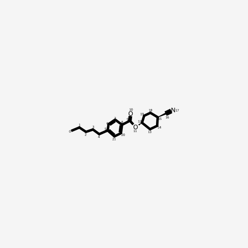 CCCCCc1ccc(C(=O)O[C@H]2CC[C@H](C#N)CC2)cc1